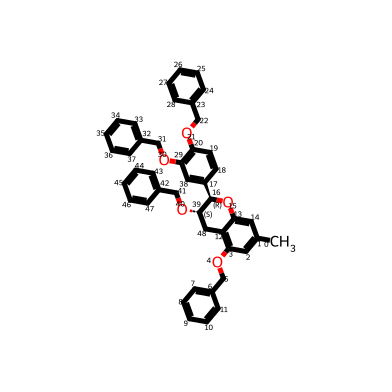 Cc1cc(OCc2ccccc2)c2c(c1)O[C@H](c1ccc(OCc3ccccc3)c(OCc3ccccc3)c1)[C@@H](OCc1ccccc1)C2